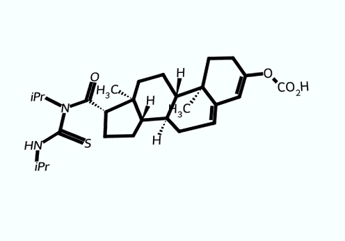 CC(C)NC(=S)N(C(=O)[C@H]1CC[C@H]2[C@@H]3CC=C4C=C(OC(=O)O)CC[C@]4(C)[C@H]3CC[C@]12C)C(C)C